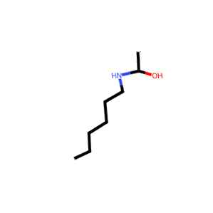 [CH2]C(O)NCCCCCC